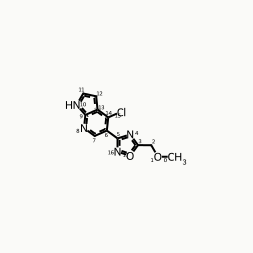 COCc1nc(-c2cnc3[nH]ccc3c2Cl)no1